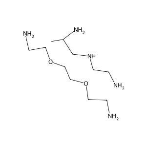 CC(N)CNCCN.NCCOCCOCCN